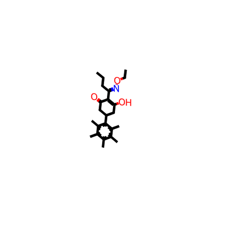 CCC/C(=N\OCC)C1=C(O)CC(c2c(C)c(C)c(C)c(C)c2C)CC1=O